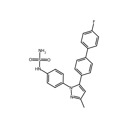 Cc1cc(-c2ccc(-c3ccc(F)cc3)cc2)n(-c2ccc(NS(N)(=O)=O)cc2)n1